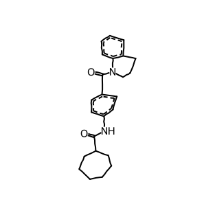 O=C(Nc1ccc(C(=O)N2CCCc3ccccc32)cc1)C1CCCCCC1